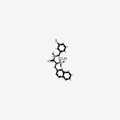 CCOC(=O)[N+](C)(C)C(Cc1ccc2ccccc2c1)C(=O)N(C)Cc1cccc(F)c1